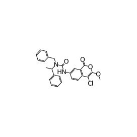 COc1oc(=O)c2cc(NC(=O)N(Cc3ccccc3)C(C)c3ccccc3)ccc2c1Cl